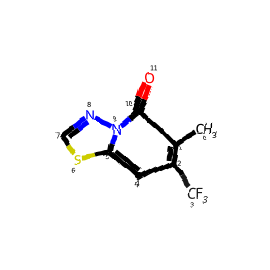 Cc1c(C(F)(F)F)cc2scnn2c1=O